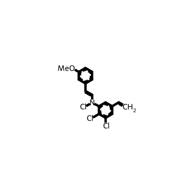 C=Cc1cc(Cl)c(Cl)c(N(Cl)C=Cc2cccc(OC)c2)c1